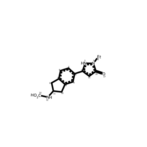 CCn1[nH]c(-c2ccc3c(c2)CC(NC(=O)O)C3)cc1=O